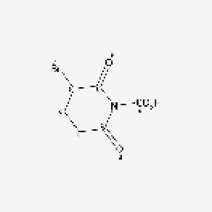 O=C(O)N1C(=O)CCC(Br)C1=O